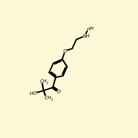 CCCNCCOc1ccc(C(=O)C(C)(C)O)cc1